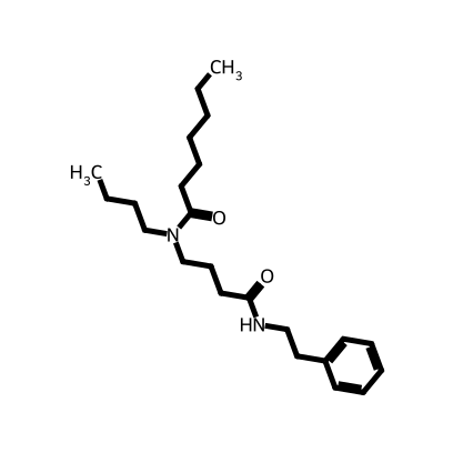 CCCCCCC(=O)N(CCCC)CCCC(=O)NCCc1ccccc1